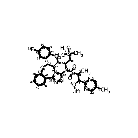 Cc1cnc(C(OC(C)C)C(C)S(=O)(=O)N(CC[Si](C)(C)C)c2nnc3n2[C@H](COc2ccc(F)cc2)COc2ccccc2-3)nc1